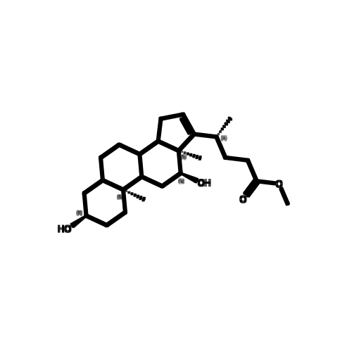 COC(=O)CC[C@@H](C)C1=CCC2C3CCC4C[C@H](O)CC[C@]4(C)C3C[C@H](O)[C@]12C